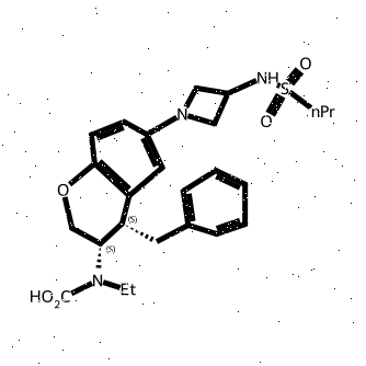 CCCS(=O)(=O)NC1CN(c2ccc3c(c2)[C@H](Cc2ccccc2)[C@H](N(CC)C(=O)O)CO3)C1